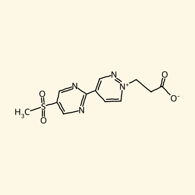 CS(=O)(=O)c1cnc(-c2cc[n+](CCC(=O)[O-])nc2)nc1